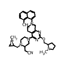 Cc1cccc2cccc(N3CCc4c(nc(OCC5CCCN5C)nc4N4CCN(CC5C[N@]5C)C(CC#N)C4)C3)c12